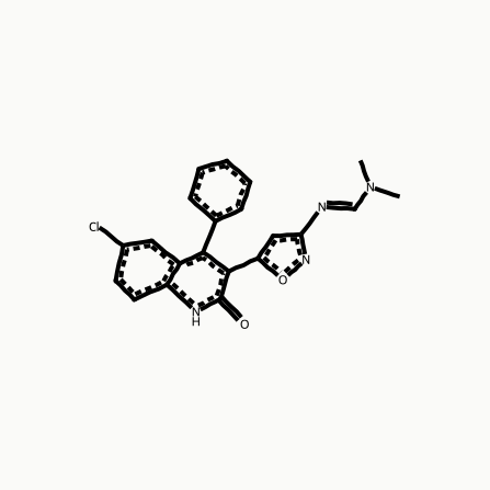 CN(C)C=Nc1cc(-c2c(-c3ccccc3)c3cc(Cl)ccc3[nH]c2=O)on1